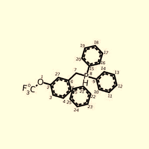 FC(F)(F)Oc1cccc(C[PH](c2ccccc2)(c2ccccc2)c2ccccc2)c1